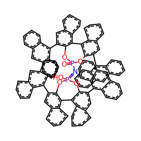 O=P1(N=P2(O)Oc3c(-c4c5ccccc5cc5ccccc45)cc4ccccc4c3-c3c(c(-c4c5ccccc5cc5ccccc45)cc4ccccc34)O2)Oc2c(-c3c4ccccc4cc4ccccc34)cc3ccccc3c2-c2c(c(-c3c4ccccc4cc4ccccc34)cc3ccccc23)O1